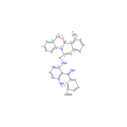 COc1cccc(C(=N)c2c(N)ncnc2NCc2cc3cccc(C)c3c(=O)n2-c2ccccc2C)c1